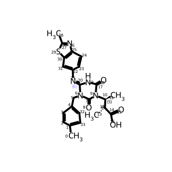 Cc1ccc(Cn2c(=O)n([C@@H](C)[C@@H](C)C(=O)O)c(=O)[nH]/c2=N\c2ccc3nc(C)sc3c2)cc1